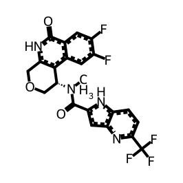 CN(C(=O)c1cc2nc(C(F)(F)F)ccc2[nH]1)[C@@H]1COCc2[nH]c(=O)c3cc(F)c(F)cc3c21